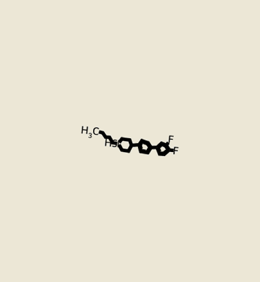 CCCCC[SiH]1CCC(c2ccc(-c3ccc(F)c(F)c3)cc2)CC1